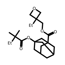 CCC1(COC(=O)C23CC4CC(CC(OC(=O)C(C)(C)CC)(C4)C2)C3)COC1